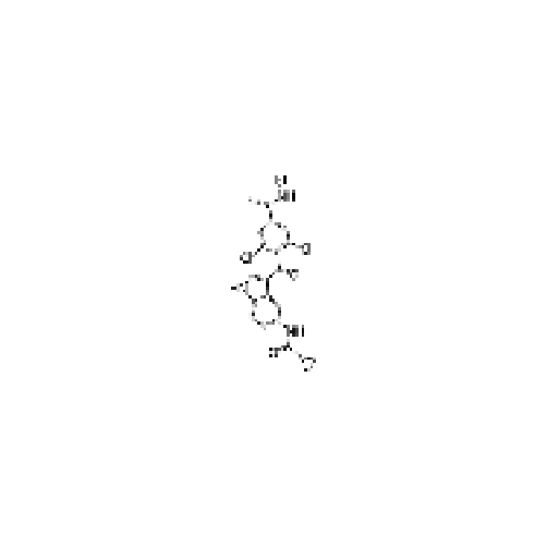 CCNC(=O)c1cc(Cl)c(C(=O)c2c[nH]c3cnc(NC(=O)C4CC4)cc23)c(Cl)c1